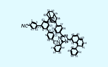 N#Cc1ccc(-c2cc(-c3ccc(C#N)cc3)cc(C34CC5CC(CC(c6ccc(-c7nc(-c8ccccc8)nc(-c8ccc9cccc(-c%10ccccc%10)c9c8)n7)cc6)(C5)C3)C4)c2)cc1